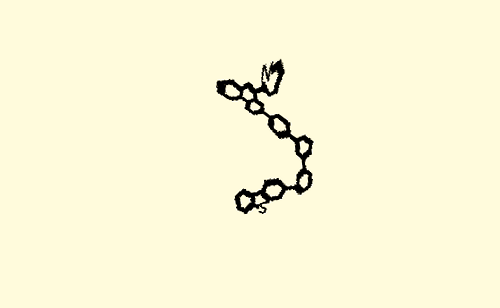 C1=CC(c2cccc(-c3cccc(-c4ccc(-c5ccc6c(c5)c(-c5ccccn5)cc5ccccc56)cc4)c3)c2)Cc2sc3ccccc3c21